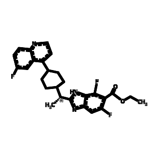 CCOC(=O)c1c(F)cc2nc([C@H](C)C3CCC(c4ccnc5ccc(F)cc45)CC3)[nH]c2c1F